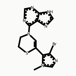 Cn1cnc(Br)c1C1=CN(c2ncnc3[nH]cnc23)CCS1